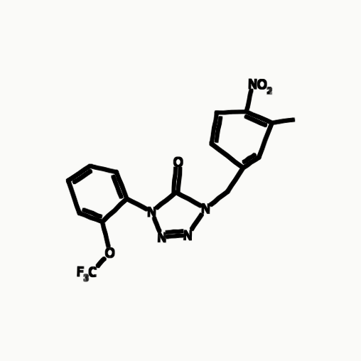 Cc1cc(Cn2nnn(-c3ccccc3OC(F)(F)F)c2=O)ccc1[N+](=O)[O-]